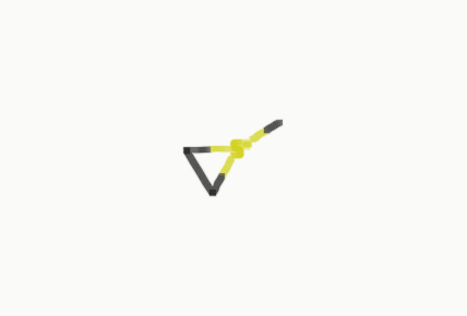 C[S+]1CC1